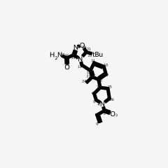 C=CC(=O)N1CCC(c2cccc(CN3C(C(N)=O)=NOC3C(C)(C)C)c2C)CC1